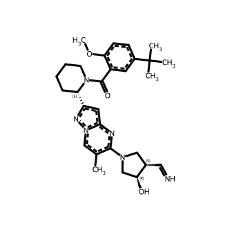 COc1ccc(C(C)(C)C)cc1C(=O)N1CCCC[C@H]1c1cc2nc(N3C[C@@H](C=N)[C@@H](O)C3)c(C)cn2n1